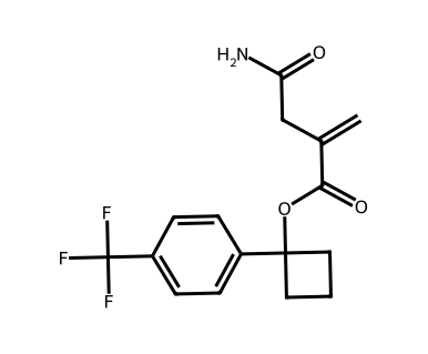 C=C(CC(N)=O)C(=O)OC1(c2ccc(C(F)(F)F)cc2)CCC1